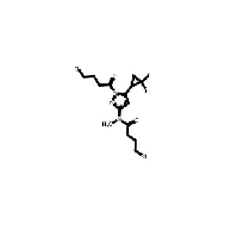 CN(C(=O)CCCCl)c1cc(C2CC2(F)F)n(C(=O)CCCCl)n1